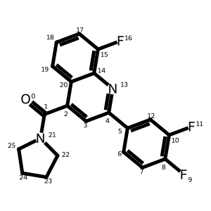 O=C(c1cc(-c2ccc(F)c(F)c2)nc2c(F)cccc12)N1CCCC1